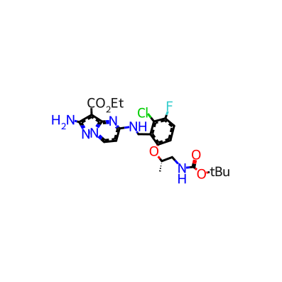 CCOC(=O)c1c(N)nn2ccc(NCc3c(O[C@@H](C)CNC(=O)OC(C)(C)C)ccc(F)c3Cl)nc12